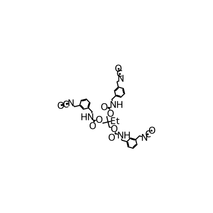 CCC(COC(=O)NCc1cccc(CN=C=O)c1)(COC(=O)NCc1cccc(CN=C=O)c1)COC(=O)NCc1cccc(CN=C=O)c1